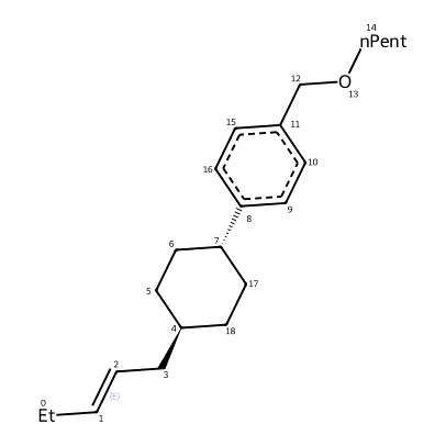 CC/C=C/C[C@H]1CC[C@H](c2ccc(COCCCCC)cc2)CC1